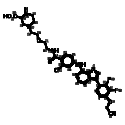 N#CCOc1ccc(-c2cnc3c(Nc4ccc(C(=O)NCCOCCN5CCNC(C(=O)O)C5)c(Cl)c4)nccn23)c(F)c1F